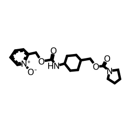 O=C(NC1CCC(COC(=O)N2CCCC2)CC1)OCc1cccc[n+]1[O-]